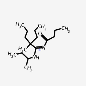 CCCC(=O)/N=C(/NC(C)CC)C(C)(CCC)CCC